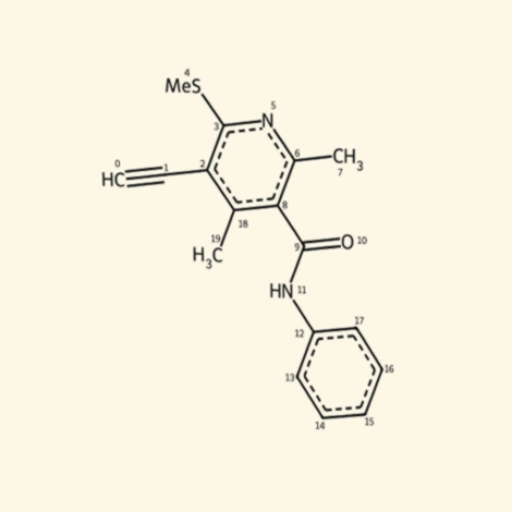 C#Cc1c(SC)nc(C)c(C(=O)Nc2ccccc2)c1C